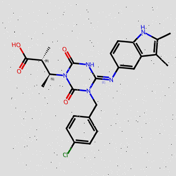 Cc1[nH]c2ccc(/N=c3\[nH]c(=O)n([C@@H](C)[C@@H](C)C(=O)O)c(=O)n3Cc3ccc(Cl)cc3)cc2c1C